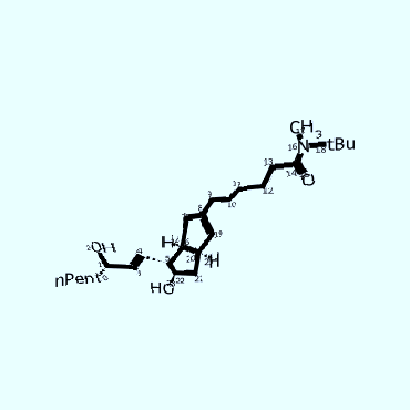 CCCCC[C@H](O)/C=C/[C@@H]1[C@H]2CC(CCCCCC(=O)N(C)C(C)(C)C)=C[C@H]2C[C@H]1O